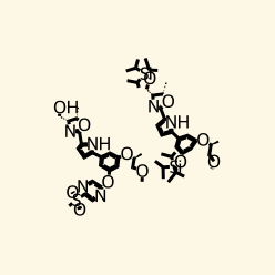 COC[C@H](C)Oc1cc(O[Si](C(C)C)(C(C)C)C(C)C)cc(-c2ccc(C3=N[C@H](CO[Si](C(C)C)(C(C)C)C(C)C)[C@H](C)O3)[nH]2)c1.COC[C@H](C)Oc1cc(Oc2cnc(S(C)(=O)=O)cn2)cc(-c2ccc(C3=N[C@H](CO)[C@H](C)O3)[nH]2)c1